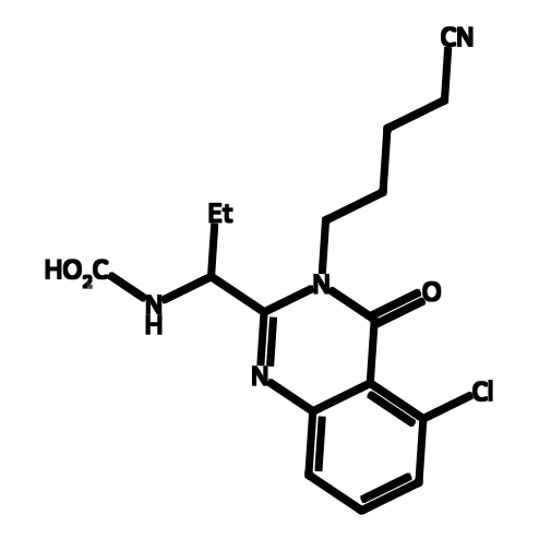 CCC(NC(=O)O)c1nc2cccc(Cl)c2c(=O)n1CCCCC#N